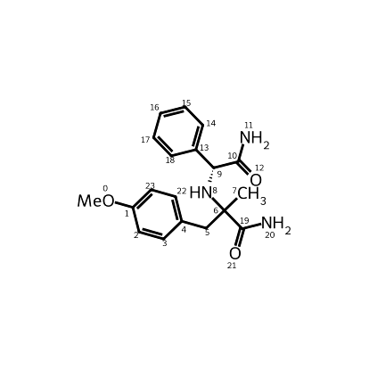 COc1ccc(CC(C)(N[C@@H](C(N)=O)c2ccccc2)C(N)=O)cc1